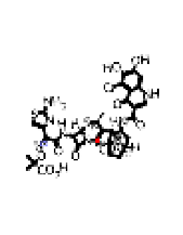 C[C@@H]1S[C@@H]2[C@H](NC(=O)/C(=N\OC(C)(C)C(=O)O)c3csc(N)n3)C(=O)N2C(C(=O)[O-])=C1C[N@@+]1(C)[C@@H]2CC[C@H]1CC(NC(=O)c1c[nH]c3cc(O)c(O)c(Cl)c3c1=O)C2